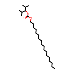 CCCCCCCCCCCCCCCCCCOC(=O)OC(C(C)C)C(C)C